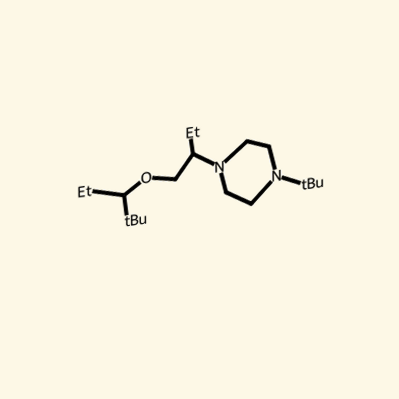 CCC(COC(CC)C(C)(C)C)N1CCN(C(C)(C)C)CC1